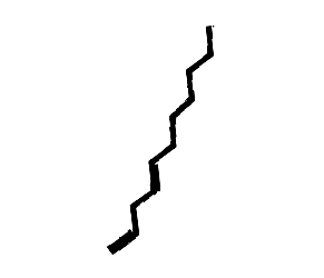 [CH2]CCCCCC=CCC=C